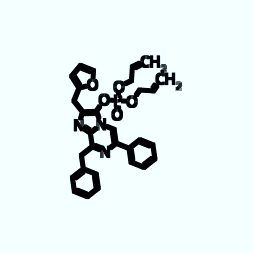 C=CCOP(=O)(OCC=C)Oc1c(Cc2ccco2)nc2c(Cc3ccccc3)nc(-c3ccccc3)cn12